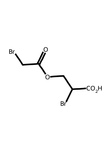 O=C(CBr)OCC(Br)C(=O)O